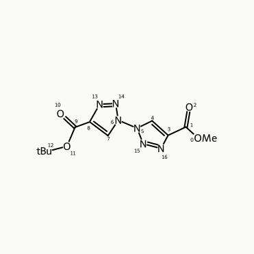 COC(=O)c1cn(-n2cc(C(=O)OC(C)(C)C)nn2)nn1